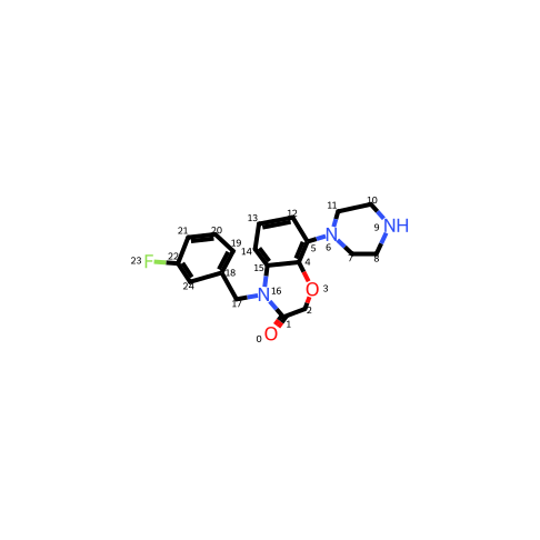 O=C1COc2c(N3CCNCC3)cccc2N1Cc1cccc(F)c1